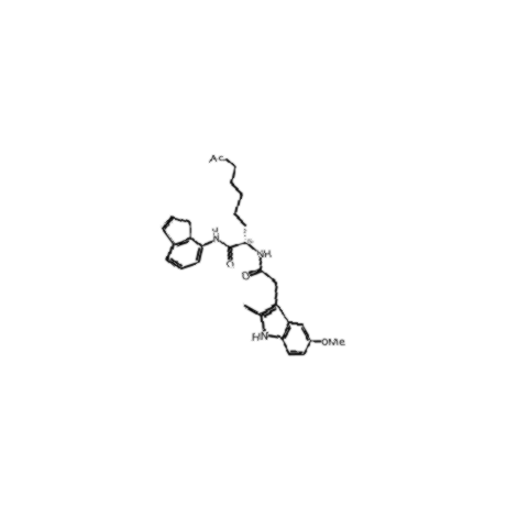 COc1ccc2[nH]c(C)c(CC(=O)N[C@@H](CCCCCC(C)=O)C(=O)Nc3cccc4c3CCC4)c2c1